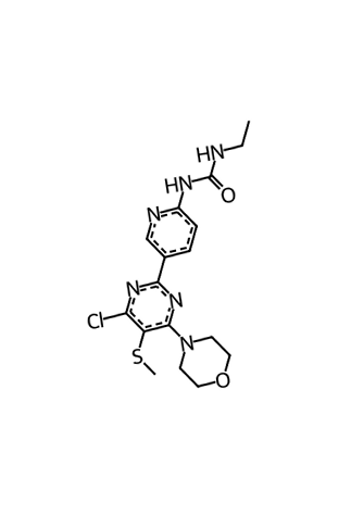 CCNC(=O)Nc1ccc(-c2nc(Cl)c(SC)c(N3CCOCC3)n2)cn1